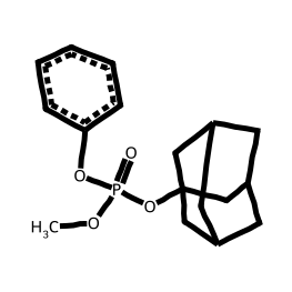 COP(=O)(Oc1ccccc1)OC12CC3CC(CC(C3)C1)C2